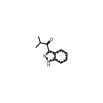 CC(C)C(=O)c1n[nH]c2ccccc12